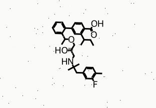 CCC(C)c1cc(-c2ccccc2C(C)OC[C@H](O)CNC(C)(C)Cc2ccc(C)c(F)c2)ccc1C(=O)O